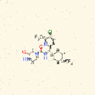 O=C1CN(C(=O)NC(c2ccc(Cl)c(C(F)(F)F)n2)[C@H]2CC[C@@H](C(F)(F)F)CC2)CCN1